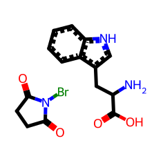 NC(Cc1c[nH]c2ccccc12)C(=O)O.O=C1CCC(=O)N1Br